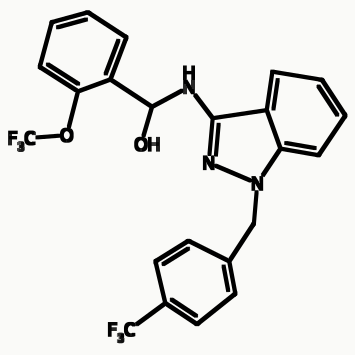 OC(Nc1nn(Cc2ccc(C(F)(F)F)cc2)c2ccccc12)c1ccccc1OC(F)(F)F